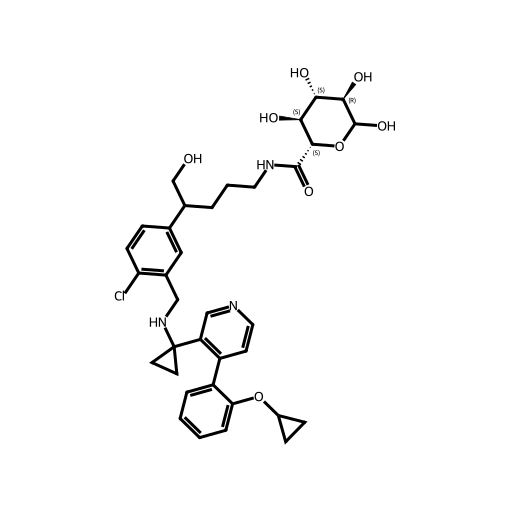 O=C(NCCCC(CO)c1ccc(Cl)c(CNC2(c3cnccc3-c3ccccc3OC3CC3)CC2)c1)[C@H]1OC(O)[C@H](O)[C@@H](O)[C@@H]1O